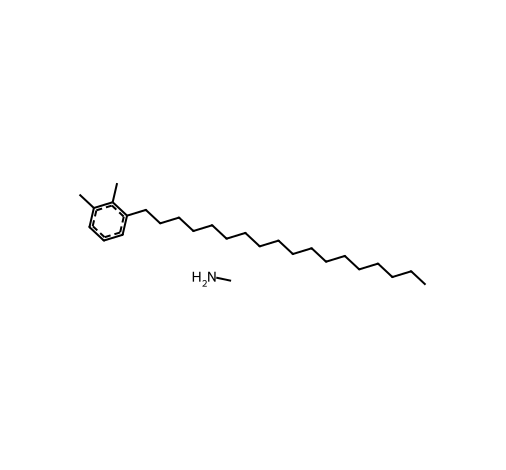 CCCCCCCCCCCCCCCCCCc1cccc(C)c1C.CN